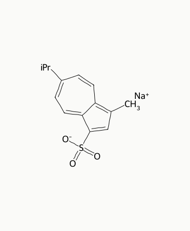 Cc1cc(S(=O)(=O)[O-])c2ccc(C(C)C)ccc1-2.[Na+]